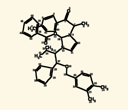 Cc1ccc(C(=O)C(C)N2C=CN(C(C(C)C)C(OCc3ccc(C)c(C)c3)c3ccccc3)C2OC(=O)c2ccccc2)cc1